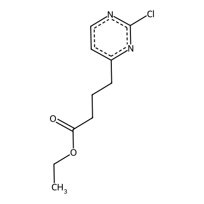 CCOC(=O)CCCc1ccnc(Cl)n1